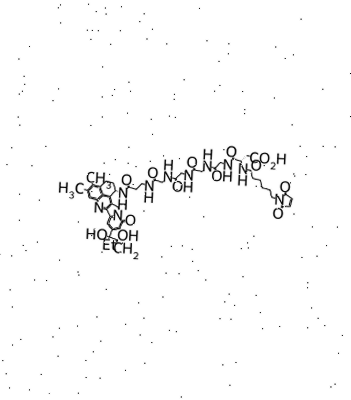 C=C(O)[C@](O)(CC)c1cc2n(c(=O)c1)Cc1c-2nc2cc(C)c(C)c3c2c1[C@@H](NC(=O)CCNC(=O)CNC(=O)CNC(=O)CNC(=O)CNC(=O)[C@H](CC(=O)O)NC(=O)CCCCCN1C(=O)C=CC1=O)CC3